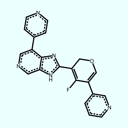 FC1=C(c2nc3c(-c4ccncc4)cncc3[nH]2)COC=C1c1cccnc1